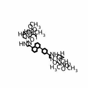 COC(=O)N[C@@H](C)C(=O)N1[C@H](c2ncc(-c3ccc(-c4cccc5c(-c6c[nH]c([C@@H]7C[C@H]8C[C@@]8(C)N7C(=O)[C@@H](NC(=O)OC)C(C)I)n6)cccc45)cc3)[nH]2)C[C@H]2C[C@]21C